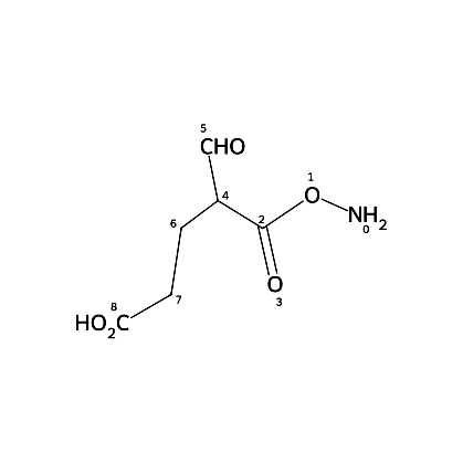 NOC(=O)C(C=O)CCC(=O)O